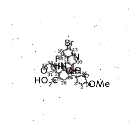 COc1ccc(CS(=O)(=O)c2cnc3cc(Br)cc(F)c3c2Nc2c(C)ccc(C(=O)O)c2C2COCCN2)cc1